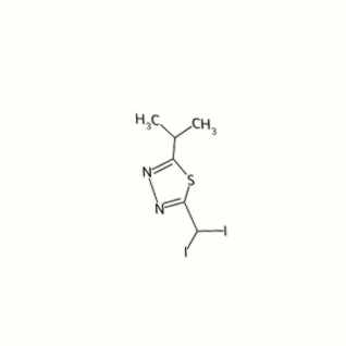 CC(C)c1nnc(C(I)I)s1